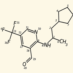 CC(CC1CCCC1)Nc1ncc(C(F)(F)F)cc1C=O